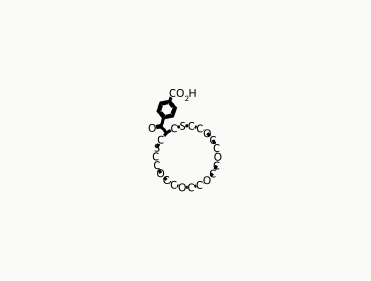 O=C(O)c1ccc(C(=O)C2CSCCOCCOCCOCCOCCOCCSC2)cc1